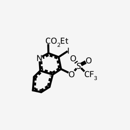 CCOC(=O)c1nc2ccccc2c(OS(=O)(=O)C(F)(F)F)c1I